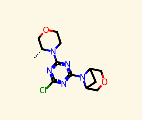 C[C@@H]1COCCN1c1nc(Cl)nc(N2C3COCC2C3)n1